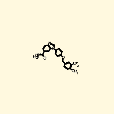 Cc1ccc(COc2ccc(-n3cnc4ccc(C(=O)NO)cc43)cc2)cc1C(F)(F)F